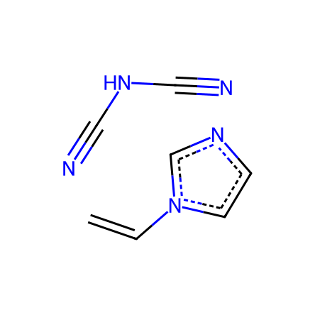 C=Cn1ccnc1.N#CNC#N